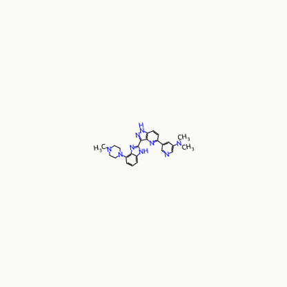 CN1CCN(c2cccc3[nH]c(-c4n[nH]c5ccc(-c6cncc(N(C)C)c6)nc45)nc23)CC1